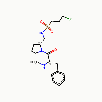 O=C(O)N[C@@H](Cc1ccccc1)C(=O)N1CCC[C@@H]1CNS(=O)(=O)CCCBr